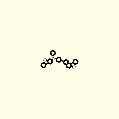 c1ccc(N(c2ccc(-c3ccc4c(ccc5oc6ccccc6c54)c3)cc2)c2ccc3c(c2)oc2ccccc23)cc1